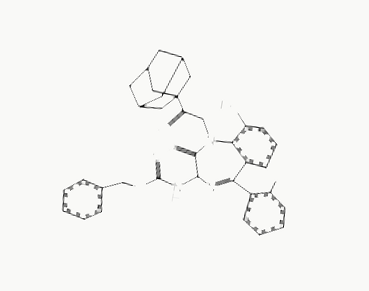 Cc1cccc2c1N(CC(=O)C13CC4CC(CC(C4)C1)C3)C(=O)C(NC(=O)OCc1ccccc1)N=C2c1ccccc1F